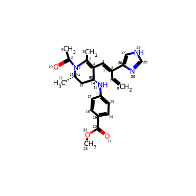 C=C/C(=C\C1=C(C)N(C(C)=O)[C@@H](C)C[C@H]1Nc1ccc(C(=O)OC)cc1)c1c[nH]cn1